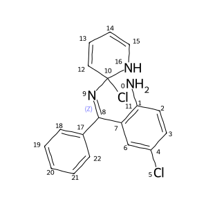 Nc1ccc(Cl)cc1/C(=N\C1(Cl)C=CC=CN1)c1ccccc1